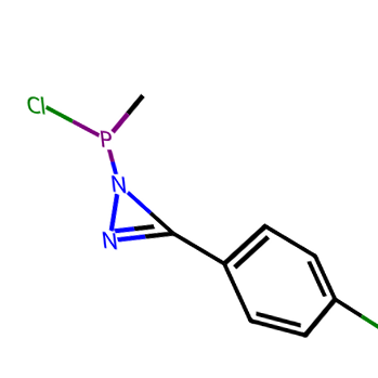 CP(Cl)N1N=C1c1ccc(F)cc1